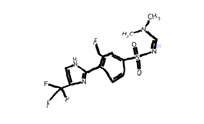 CN(C)/C=N\S(=O)(=O)c1ccc(-c2nc(C(F)(F)F)c[nH]2)c(F)c1